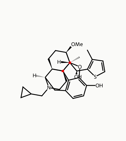 CO[C@]12CC[C@@]3(C[C@]1(C)[C@H](O)c1sccc1C)[C@H]1Cc4ccc(O)c5c4[C@@]3(CCN1CC1CC1)[C@H]2O5